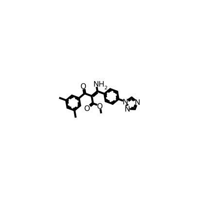 COC(=O)C(C(=O)c1cc(C)cc(C)c1)=C(N)c1ccc(-n2cncn2)cc1